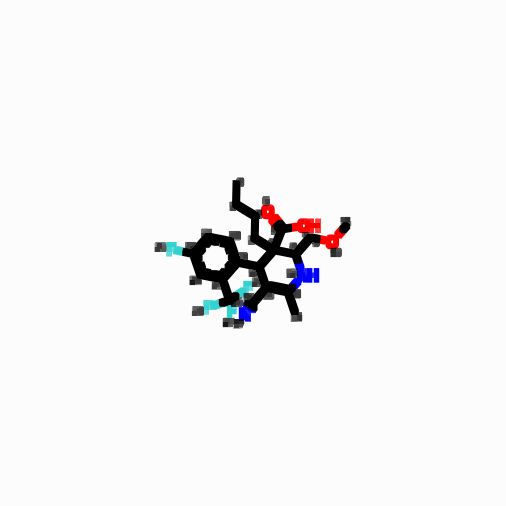 CCCCC1(C(=O)O)C(COC)NC(C)=C(C#N)C1c1ccc(F)cc1C(F)(F)F